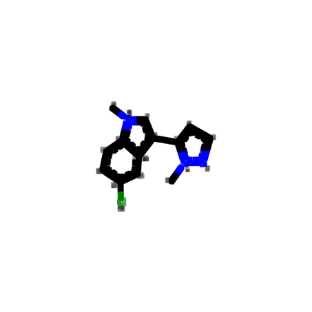 Cn1nccc1-c1cn(C)c2ccc(Cl)cc12